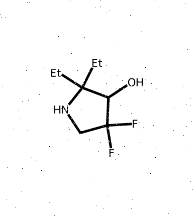 CCC1(CC)NCC(F)(F)C1O